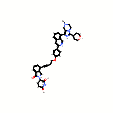 CC(=O)N1CCn2c(C3CCOCC3)nc(-c3cccc4cc(-c5ccc(OCCC#Cc6cccc7c6CN(C6CCC(=O)NC6=O)C7=O)cc5)ncc34)c2C1